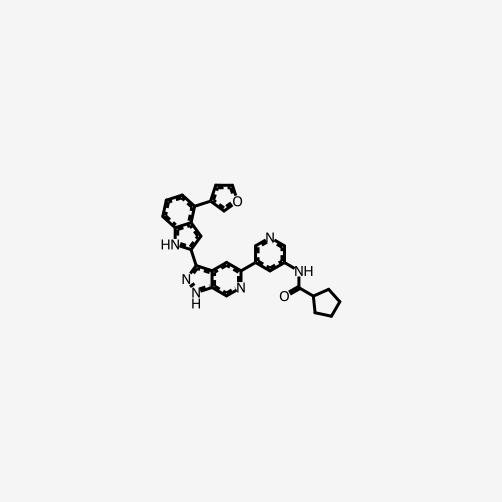 O=C(Nc1cncc(-c2cc3c(-c4cc5c(-c6ccoc6)cccc5[nH]4)n[nH]c3cn2)c1)C1CCCC1